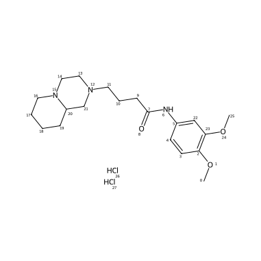 COc1ccc(NC(=O)CCCN2CCN3CCCCC3C2)cc1OC.Cl.Cl